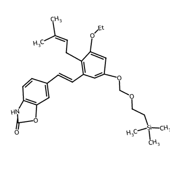 CCOc1cc(OCOCC[Si](C)(C)C)cc(C=Cc2ccc3[nH]c(=O)oc3c2)c1CC=C(C)C